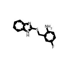 Nc1ccc(F)cc1CSc1nc2ccccc2[nH]1